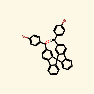 C=C(c1ccc(Br)cc1)c1ccc2c(c1)C1(c3ccccc3-2)c2ccccc2-c2ccc(C(=O)c3ccc(Br)cc3)cc21